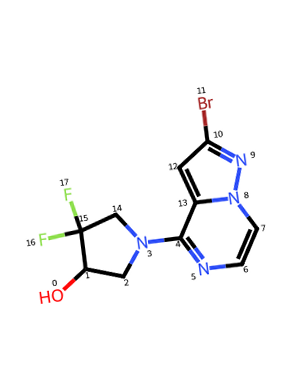 OC1CN(c2nccn3nc(Br)cc23)CC1(F)F